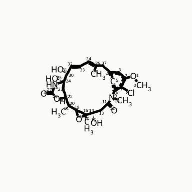 COc1cc2cc(c1Cl)N(C)C(=O)C[C@H](O)[C@]1(C)OC1[C@H](C)[C@@H]1C[C@@](O)(NC(=O)O1)[C@H](O)/C=C/C=C(\C)C2